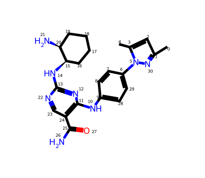 Cc1cc(C)n(-c2ccc(Nc3nc(N[C@@H]4CCCC[C@@H]4N)ncc3C(N)=O)cc2)n1